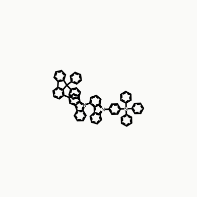 c1ccc(C2(c3ccccc3)c3ccccc3-c3cccc(-c4ccc5c(c4)c4ccccc4n5-c4cccc5c4c4ccccc4n5-c4ccc([Si](c5ccccc5)(c5ccccc5)c5ccccc5)cc4)c32)cc1